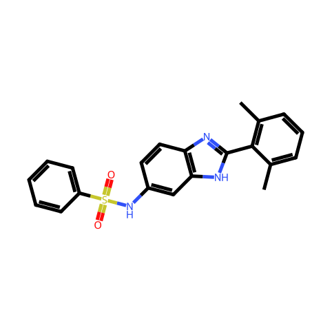 Cc1cccc(C)c1-c1nc2ccc(NS(=O)(=O)c3ccccc3)cc2[nH]1